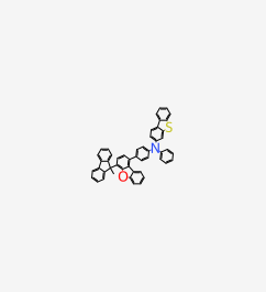 CC1(c2ccc(-c3ccc(N(c4ccccc4)c4ccc5c(c4)sc4ccccc45)cc3)c3c2oc2ccccc23)c2ccccc2-c2ccccc21